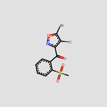 CC(C)c1onc(C(=O)c2ccccc2S(C)(=O)=O)c1Cl